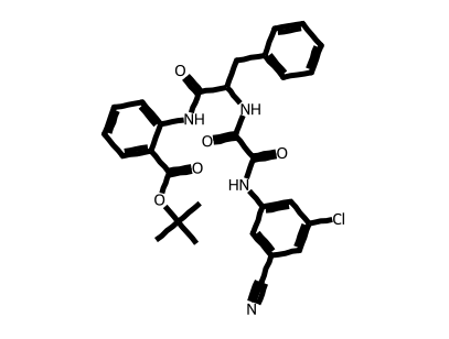 CC(C)(C)OC(=O)c1ccccc1NC(=O)C(Cc1ccccc1)NC(=O)C(=O)Nc1cc(Cl)cc(C#N)c1